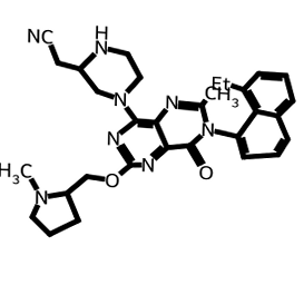 CCc1cccc2cccc(-n3c(C)nc4c(N5CCNC(CC#N)C5)nc(OCC5CCCN5C)nc4c3=O)c12